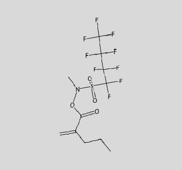 C=C(CCC)C(=O)ON(C)S(=O)(=O)C(F)(F)C(F)(F)C(F)(F)C(F)(F)F